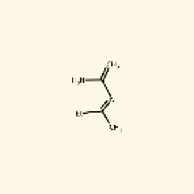 C=C(N)/N=C(/C)CC